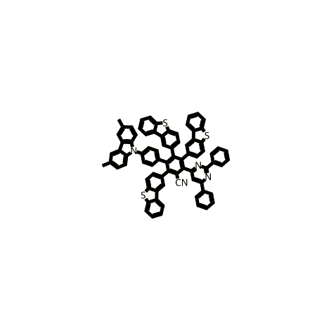 Cc1ccc2c(c1)c1cc(C)ccc1n2-c1ccc(-c2c(-c3ccc4sc5ccccc5c4c3)c(C#N)c(-c3cc(-c4ccccc4)nc(-c4ccccc4)n3)c(-c3ccc4sc5ccccc5c4c3)c2-c2ccc3sc4ccccc4c3c2)cc1